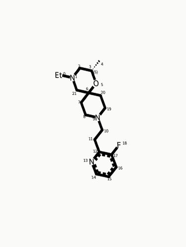 CCN1C[C@H](C)OC2(CCN(CCc3ncccc3F)CC2)C1